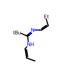 C/C=C\N/C(=N\C=C/CC)C(C)(C)C